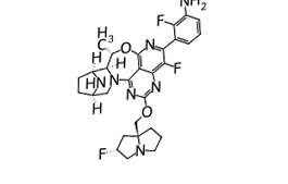 C[C@@H]1Oc2nc(-c3cccc(N)c3F)c(F)c3nc(OC[C@@]45CCCN4C[C@H](F)C5)nc(c23)N2C[C@H]3CC[C@H](N3)[C@@H]12